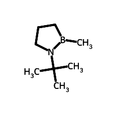 CB1CCCN1C(C)(C)C